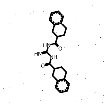 N=C(NC(=O)C1CCc2ccccc2C1)NC(=O)C1CCc2ccccc2C1